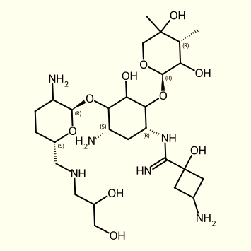 C[C@@H]1C(O)[C@@H](OC2C(O)C(O[C@H]3O[C@H](CNCC(O)CO)CCC3N)[C@@H](N)C[C@H]2NC(=N)C2(O)CC(N)C2)OCC1(C)O